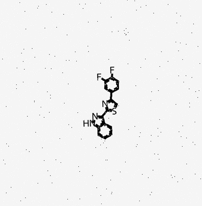 Fc1ccc(-c2csc(-c3n[nH]c4ccccc34)n2)cc1F